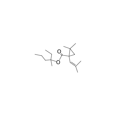 CCCC(C)(CC)OC(=O)C1(C=C(C)C)CC1(C)C